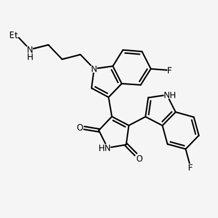 CCNCCCn1cc(C2=C(c3c[nH]c4ccc(F)cc34)C(=O)NC2=O)c2cc(F)ccc21